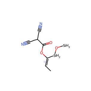 C/C=C(/OC(=O)C(C#N)C#N)[SiH2]O[SiH3]